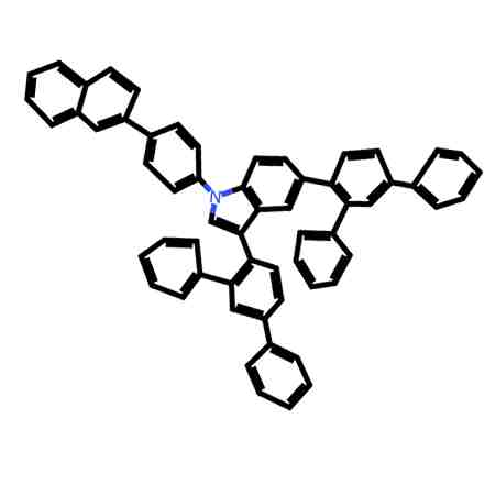 c1ccc(-c2ccc(-c3ccc4c(c3)c(-c3ccc(-c5ccccc5)cc3-c3ccccc3)cn4-c3ccc(-c4ccc5ccccc5c4)cc3)c(-c3ccccc3)c2)cc1